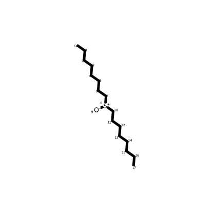 CCCCCCCC[S+]([O-])CCCCCCCC